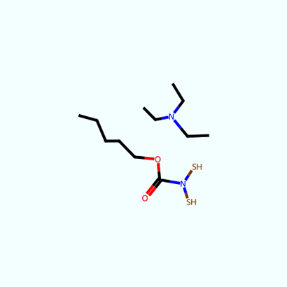 CCCCCOC(=O)N(S)S.CCN(CC)CC